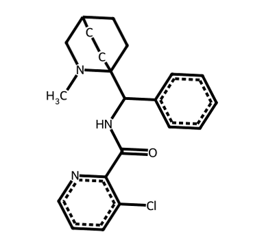 CN1CC2CCC1(C(NC(=O)c1ncccc1Cl)c1ccccc1)CC2